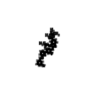 COCCn1c(Cc2cc(F)c(-c3cccc(OCc4cccc(Br)c4)n3)cc2F)nc2ccc(C(=O)OC(C)(C)C)cc21